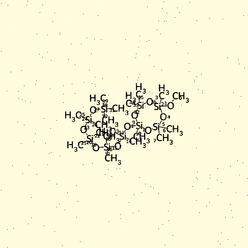 CO[Si]1(C)O[Si](C)(C)O[Si](C)(O[Si](C)(C)O[Si](C)(C)O[Si](C)(C)O[Si](C)(C)O[Si](C)(C)C)O[Si](C)(C)O1